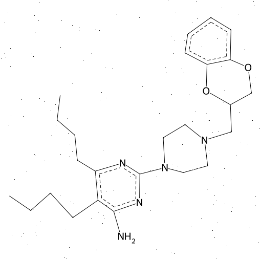 CCCCc1nc(N2CCN(CC3COc4ccccc4O3)CC2)nc(N)c1CCCC